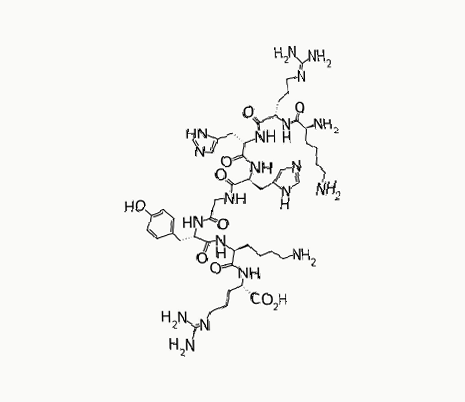 NCCCC[C@H](NC(=O)[C@H](Cc1ccc(O)cc1)NC(=O)CNC(=O)[C@H](Cc1cnc[nH]1)NC(=O)[C@H](Cc1cnc[nH]1)NC(=O)[C@H](CCCN=C(N)N)NC(=O)[C@@H](N)CCCCN)C(=O)N[C@@H](CCCN=C(N)N)C(=O)O